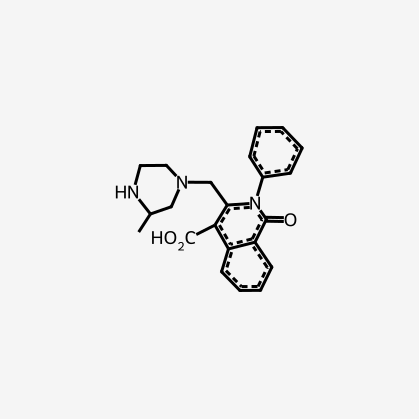 CC1CN(Cc2c(C(=O)O)c3ccccc3c(=O)n2-c2ccccc2)CCN1